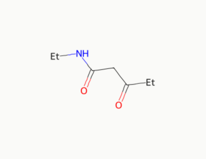 CCNC(=O)CC(=O)CC